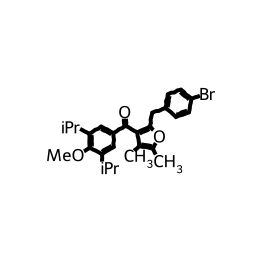 COc1c(C(C)C)cc(C(=O)c2c(Cc3ccc(Br)cc3)oc(C)c2C)cc1C(C)C